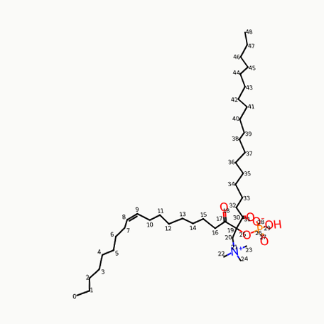 CCCCCCCC/C=C\CCCCCCCC(=O)C(C[N+](C)(C)C)(OP(=O)([O-])O)C(=O)CCCCCCCCCCCCCCCCC